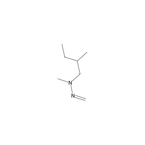 C=NN(C)CC(C)CC